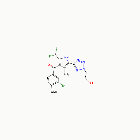 COc1ccc(C(=O)c2c(C(F)F)[nH]c(-c3nnn(CCO)n3)c2C)cc1Br